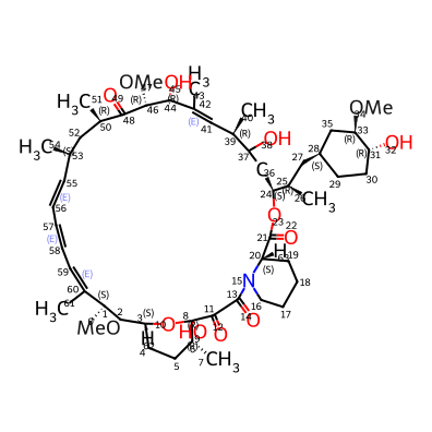 CO[C@H]1C[C@@H]2CC[C@@H](C)[C@@](O)(O2)C(=O)C(=O)N2CCCC[C@H]2C(=O)O[C@H]([C@H](C)C[C@@H]2CC[C@@H](O)[C@H](OC)C2)CC(O)[C@H](C)/C=C(\C)[C@@H](O)[C@@H](OC)C(=O)[C@H](C)C[C@H](C)/C=C/C=C/C=C/1C